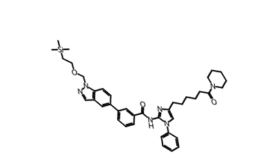 C[Si](C)(C)CCOCn1ncc2cc(-c3cccc(C(=O)Nc4nc(CCCCCC(=O)N5CCCCC5)cn4-c4ccccc4)c3)ccc21